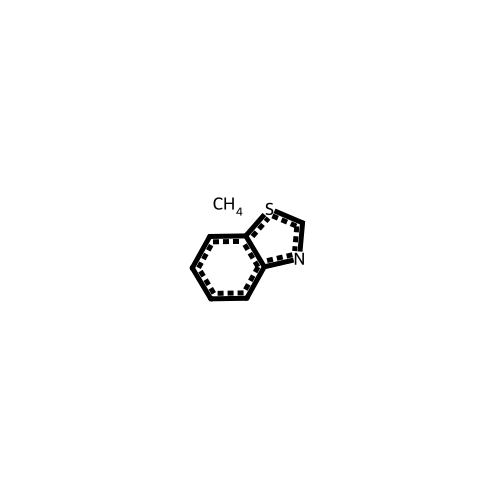 C.c1ccc2scnc2c1